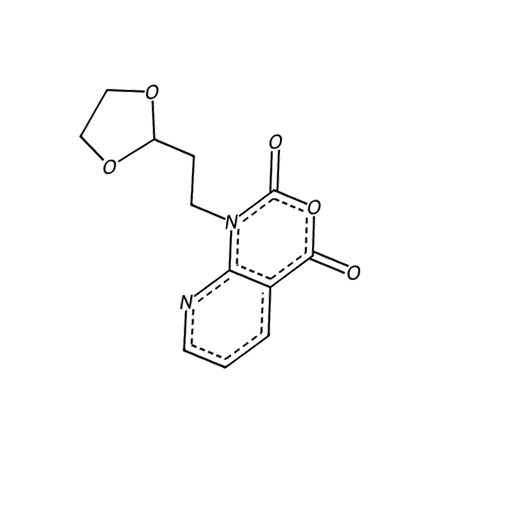 O=c1oc(=O)n(CCC2OCCO2)c2ncccc12